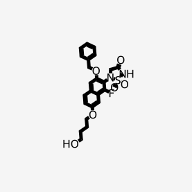 O=C1CN(c2c(OCc3ccccc3)cc3ccc(OCCCCO)cc3c2F)S(=O)(=O)N1